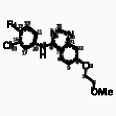 COCCOc1ccc2c(Nc3ccc(F)c(Cl)c3)ncnc2c1